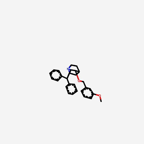 COc1cccc(COC2C3CCN(CC3)C2C(c2ccccc2)c2ccccc2)c1